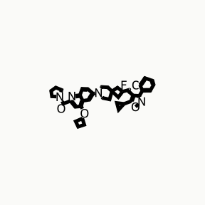 O=C(c1cc(OC2CCC2)c2cc(N3CCC4(CC3)CC(Cc3c(-c5ccccc5C(F)(F)F)noc3C3CC3)C4)ccc2n1)N1CCCC1